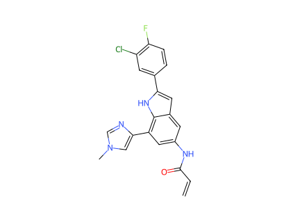 C=CC(=O)Nc1cc(-c2cn(C)cn2)c2[nH]c(-c3ccc(F)c(Cl)c3)cc2c1